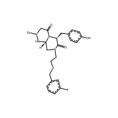 CCN1CC(=O)N2[C@H](CN(CCOCc3cccc(F)c3)C(=O)[C@@H]2Cc2ccc(O)cc2)N1